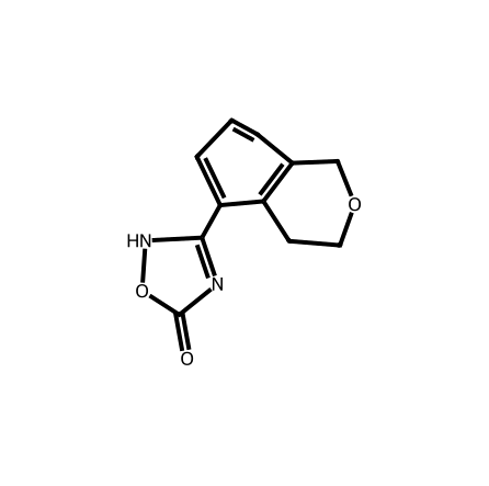 O=c1nc(-c2cccc3c2CCOC3)[nH]o1